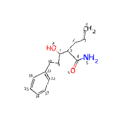 C=CCC(C(N)=O)C(O)CCc1ccccc1